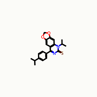 CC(C)c1ccc(-c2nc(=S)n(C(C)C)c3cc4c(cc23)OCO4)cc1